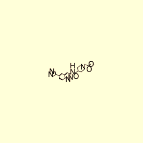 COC(=O)CN1CCC(C(=O)Nc2cc3cc(-c4cnn(C)c4)ccc3nn2)CC1